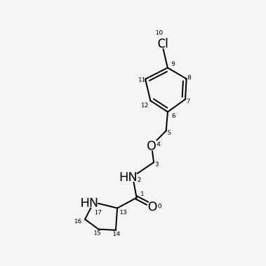 O=C(NCOCc1ccc(Cl)cc1)C1CCCN1